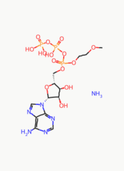 COCCOP(=O)(OC[C@H]1O[C@@H](n2cnc3c(N)ncnc32)[C@H](O)[C@@H]1O)OP(=O)(O)OP(=O)(O)O.N